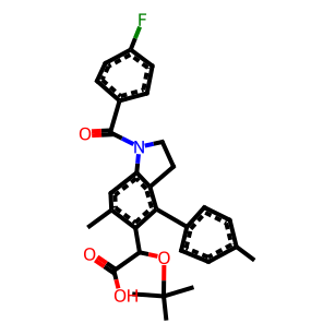 Cc1ccc(-c2c3c(cc(C)c2C(OC(C)(C)C)C(=O)O)N(C(=O)c2ccc(F)cc2)CC3)cc1